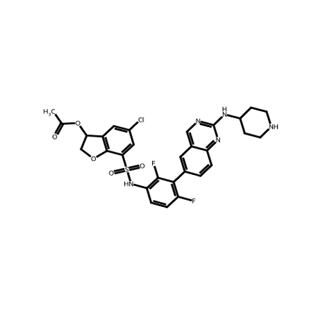 CC(=O)OC1COc2c1cc(Cl)cc2S(=O)(=O)Nc1ccc(F)c(-c2ccc3nc(NC4CCNCC4)ncc3c2)c1F